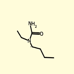 CCC[CH]N(CC)C(N)=O